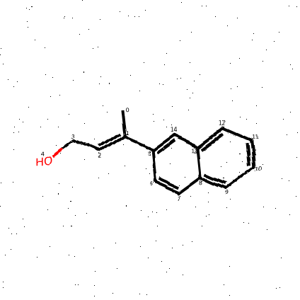 CC(=CCO)c1ccc2ccccc2c1